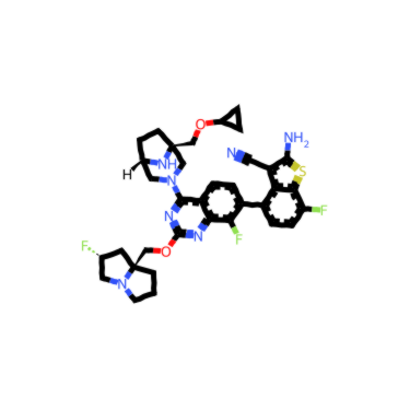 N#Cc1c(N)sc2c(F)ccc(-c3ccc4c(N5C[C@@H]6CC[C@](COC7CC7)(C5)N6)nc(OC[C@@]56CCCN5C[C@H](F)C6)nc4c3F)c12